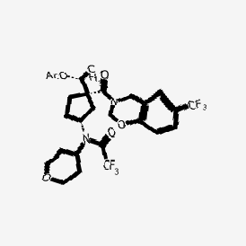 CC(=O)O[C@H](C)[C@]1(C(=O)N2COc3ccc(C(F)(F)F)cc3C2)CC[C@@H](N(C(=O)C(F)(F)F)C2CCOCC2)C1